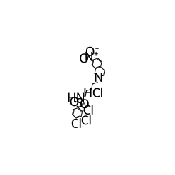 Cl.O=[N+]([O-])c1ccc2c(c1)CN(CCCCCNS(=O)(=O)c1ccc(Cl)c(Cl)c1Cl)CC2